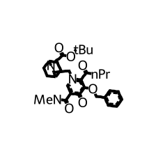 CCCC(=O)c1c(OCc2ccccc2)c(=O)c(C(=O)NC)cn1CC1C2CCC(CC2)N1C(=O)OC(C)(C)C